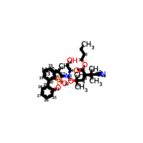 CCCCOC(=O)C(CC(C)(C)ON(CCO)C(C(C)C)P1(=O)Oc2ccccc2-c2ccccc21)C(C)(C)C#N